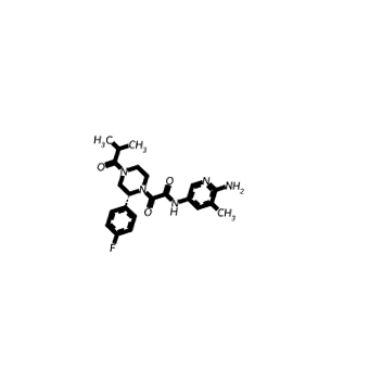 Cc1cc(NC(=O)C(=O)N2CCN(C(=O)C(C)C)C[C@H]2c2ccc(F)cc2)cnc1N